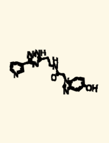 O=C(Cn1cnc2cc(O)ccc21)NCCc1nc(-c2cccnc2)n[nH]1